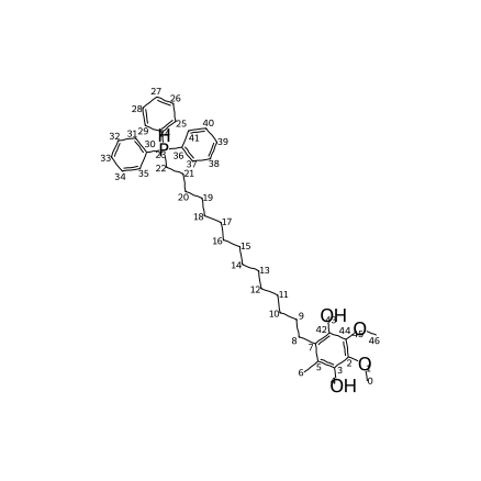 COc1c(O)c(C)c(CCCCCCCCCCCCCCC[PH](c2ccccc2)(c2ccccc2)c2ccccc2)c(O)c1OC